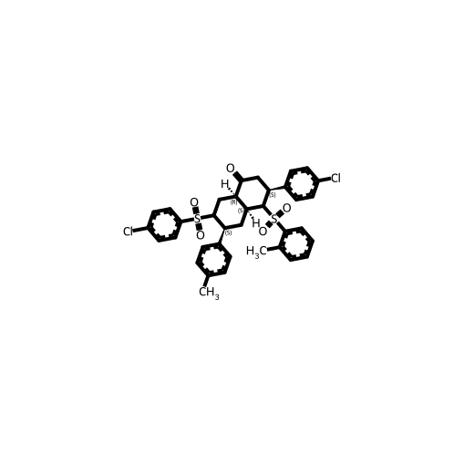 Cc1ccc([C@@H]2C[C@@H]3C(S(=O)(=O)c4ccccc4C)[C@H](c4ccc(Cl)cc4)CC(=O)[C@@H]3CC2S(=O)(=O)c2ccc(Cl)cc2)cc1